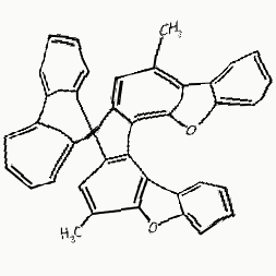 Cc1cc2c(c3c1oc1ccccc13)-c1c(cc(C)c3c1oc1ccccc13)C21c2ccccc2-c2ccccc21